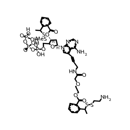 CSSC(C)c1ccccc1C(=O)O[C@@H]1C[C@H](n2cc(C#CCNC(=O)COCCOC(=O)c3ccccc3C(C)SSCCN)c3c(N)ncnc32)OC1COP(=O)(O)OP(=O)(O)OP(=O)(O)O